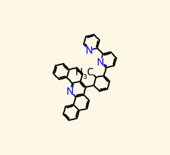 CC1C(c2cccc(-c3ccccn3)n2)=CC=CC1c1c2ccc3ccccc3c2nc2c1ccc1ccccc12